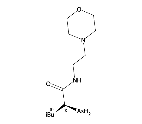 CC[C@H](C)[C@H]([AsH2])C(=O)NCCN1CCOCC1